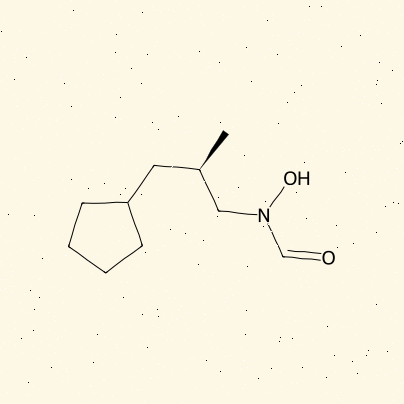 C[C@H](CC1CCCC1)CN(O)C=O